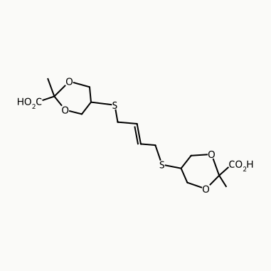 CC1(C(=O)O)OCC(SC/C=C/CSC2COC(C)(C(=O)O)OC2)CO1